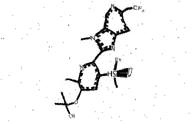 CC[SH](C)(=O)c1cc(OC(C)(C)C#N)c(C)nc1-c1nc2cc(C(F)(F)F)ncc2n1C